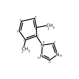 Cc1cccc(C)c1-n1cncn1